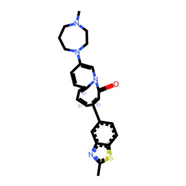 Cc1nc2cc(C3=C\C(=O)N4C=C(N5CCCN(C)CC5)C=C\C4=C/C=C/3)ccc2s1